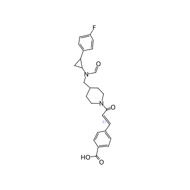 O=CN(CC1CCN(C(=O)/C=C/c2ccc(C(=O)O)cc2)CC1)C1CC1c1ccc(F)cc1